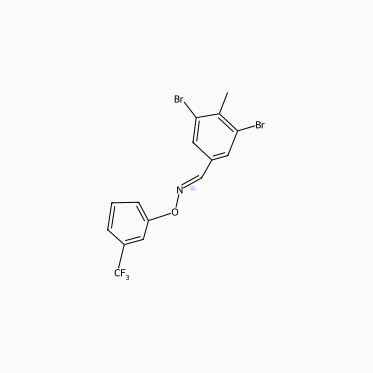 Cc1c(Br)cc(/C=N/Oc2cccc(C(F)(F)F)c2)cc1Br